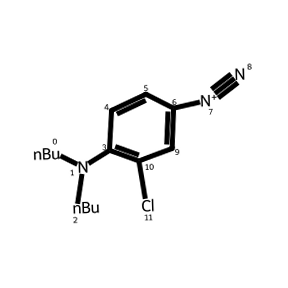 CCCCN(CCCC)c1ccc([N+]#N)cc1Cl